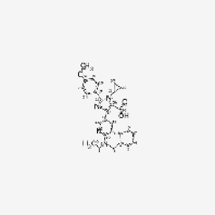 CCN(Cc1ccccc1)c1ccc(-c2nc(-c3ccc(OC)cc3)n(C3CC3)c2C(=O)O)cn1